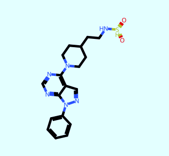 O=[SH](=O)NCCC1CCN(c2ncnc3c2cnn3-c2ccccc2)CC1